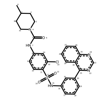 CC1CCN(C(=O)Nc2ccc(S(=O)(=O)Nc3cccc(-c4ncnc5ccccc45)c3)c(Cl)c2)CC1